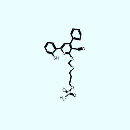 CS(=O)(=O)OCCCSCSc1nc(-c2ccccc2S)cc(-c2ccccc2)c1C#N